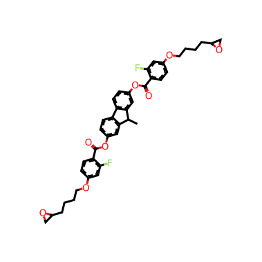 CC1c2cc(OC(=O)c3ccc(OCCCCC4CO4)cc3F)ccc2-c2ccc(OC(=O)c3ccc(OCCCCC4CO4)cc3F)cc21